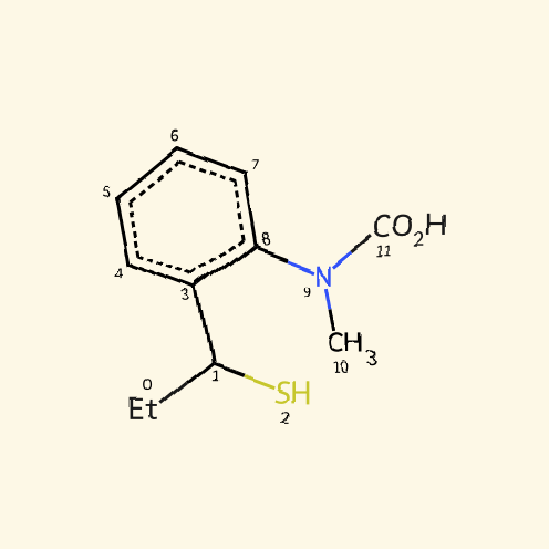 CCC(S)c1ccccc1N(C)C(=O)O